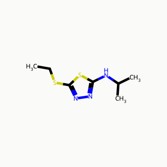 CCSc1nnc(NC(C)C)s1